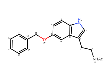 CC(=O)NCCc1c[nH]c2ccc(OCc3ccccc3)cc12